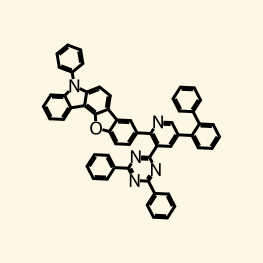 c1ccc(-c2nc(-c3ccccc3)nc(-c3cc(-c4ccccc4-c4ccccc4)cnc3-c3ccc4oc5c(ccc6c5c5ccccc5n6-c5ccccc5)c4c3)n2)cc1